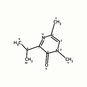 Cc1cn(C)c(=O)c(C(C)C)n1